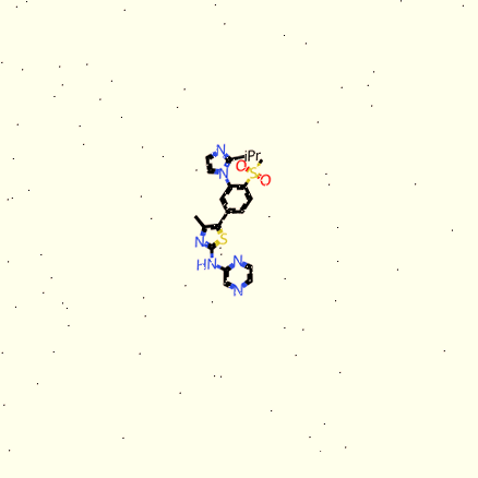 Cc1nc(Nc2cnccn2)sc1-c1ccc(S(C)(=O)=O)c(-n2ccnc2C(C)C)c1